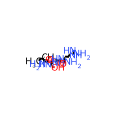 CC[C@H](C)[C@H](N)C(=O)N[C@@H](CO)C(=O)NCC(=O)N[C@@H](CCCNC(=N)N)C(N)=O